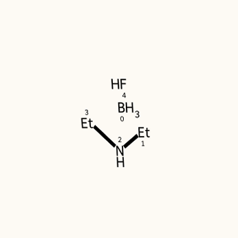 B.CCNCC.F